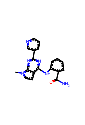 Cn1ccc2c(Nc3ccccc3C(N)=O)nc(-c3cccnc3)nc21